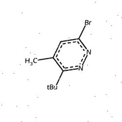 Cc1cc(Br)nnc1C(C)(C)C